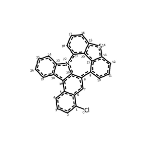 Clc1cccc2c1cc1c3cccc4sc5cccc(c5c43)n3c4ccccc4c2c13